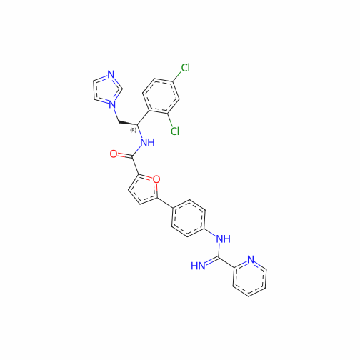 N=C(Nc1ccc(-c2ccc(C(=O)N[C@@H](Cn3ccnc3)c3ccc(Cl)cc3Cl)o2)cc1)c1ccccn1